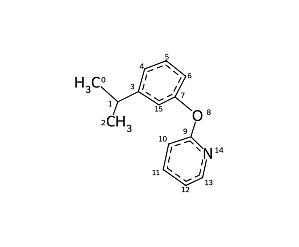 CC(C)c1cccc(Oc2ccccn2)c1